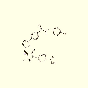 CC1=NN(c2ccc(C(=O)O)cc2)C(=O)/C1=C\c1ccc(-c2ccc(C(=O)NCc3ccc(F)cc3)cc2)o1